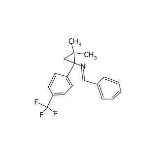 CC1(C)CC1(N=Cc1ccccc1)c1ccc(C(F)(F)F)cc1